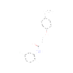 COc1ccc(OCCC(=O)Nc2cc(F)ccc2C)cc1